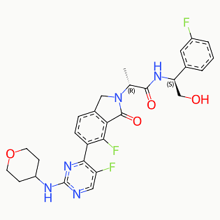 C[C@H](C(=O)N[C@H](CO)c1cccc(F)c1)N1Cc2ccc(-c3nc(NC4CCOCC4)ncc3F)c(F)c2C1=O